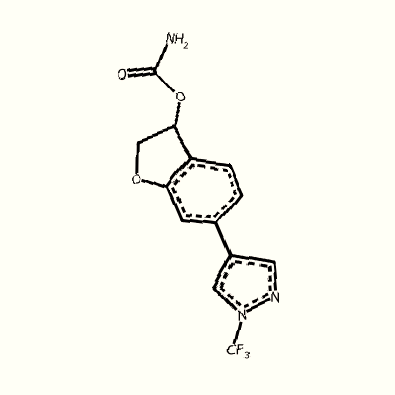 NC(=O)OC1COc2cc(-c3cnn(C(F)(F)F)c3)ccc21